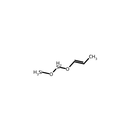 CC=CO[SiH2]O[SiH3]